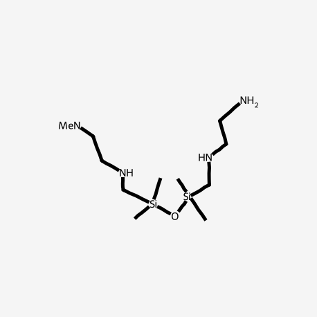 CNCCNC[Si](C)(C)O[Si](C)(C)CNCCN